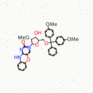 COc1ccc(C(OC[C@H]2O[C@@H](n3cc4c(nc3=O)Nc3ccccc3O4)[C@H](OC)[C@@H]2O)(c2ccccc2)c2ccc(OC)cc2)cc1